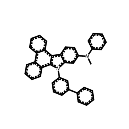 CN(c1ccccc1)c1ccc2c3c4ccccc4c4ccccc4c3n(-c3cccc(-c4ccccc4)c3)c2c1